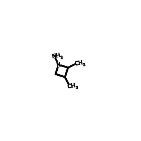 CC1CN(N)C1C